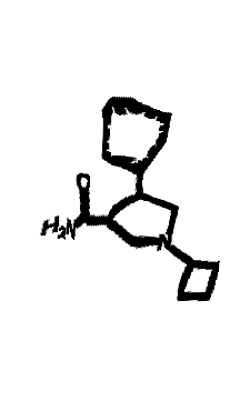 NC(=O)C1CN(C2CCC2)CC1c1ccccc1